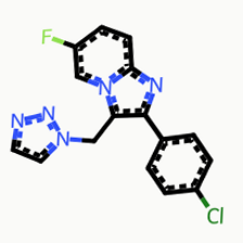 Fc1ccc2nc(-c3ccc(Cl)cc3)c(Cn3ccnn3)n2c1